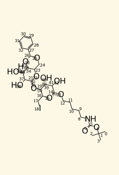 CC(C)(C)OC(=O)NCCCCCO[C@@H]1OC(CI)[C@@H](O[C@@H]2OC3COC(c4ccccc4)O[C@@H]3[C@H](O)C2O)[C@H](O)C1O